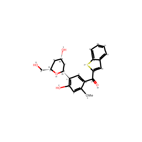 COc1cc(O)c([C@H]2C[C@@H](O)C[C@@H](CO)O2)cc1C(=O)c1cc2ccccc2s1